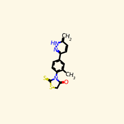 C=C1C=CC(c2ccc(N3C(=O)CSC3=S)c(C)c2)=NN1